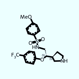 COc1ccc(S(=O)(=O)NC[C@@H](Oc2ccc(C(F)(F)F)cc2)[C@H]2CCNC2)cc1